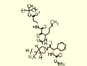 C=CCCC(NC(=O)[C@@H]1[C@@H]2[C@H](CN1C(=O)[C@@H](NC(=O)OC(C)(C)C)C1CCCCC1)C2(C)C)C(=O)C(=O)NCCC(=O)OC(C)(C)CC